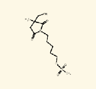 CCC1(C)CC(=O)N(CCCCCOS(C)(=O)=O)C1=O